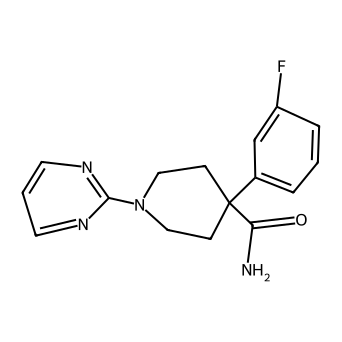 NC(=O)C1(c2cccc(F)c2)CCN(c2ncccn2)CC1